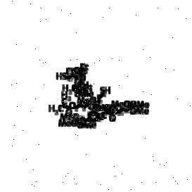 C=C(C)C(=O)OCCCCO[Si](CCCS)(OC)OC.C=C(C)C(=O)OCCC[Si](OC)(OC)OC.CCO[Si](C)(C)OC.CCO[Si](CCCS)(OCC)OCC.CO[Si](CCC1CCC2OC2C1)(OC)OC